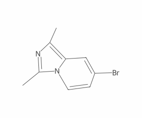 Cc1nc(C)n2ccc(Br)cc12